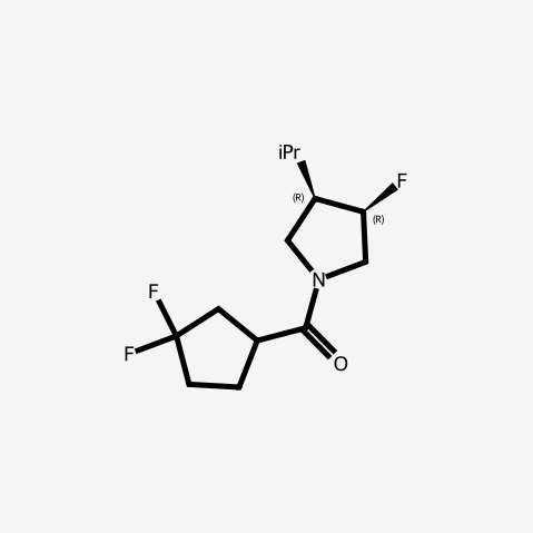 CC(C)[C@@H]1CN(C(=O)C2CCC(F)(F)C2)C[C@@H]1F